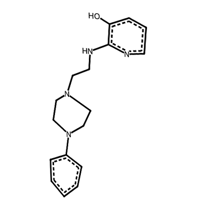 Oc1cccnc1NCCN1CCN(c2ccccc2)CC1